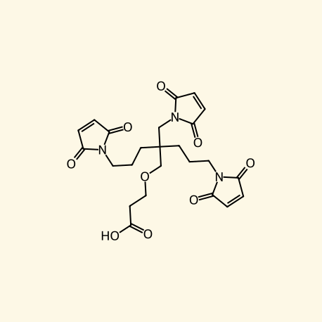 O=C(O)CCOCC(CCCN1C(=O)C=CC1=O)(CCCN1C(=O)C=CC1=O)CN1C(=O)C=CC1=O